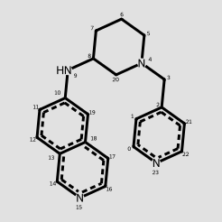 c1cc(CN2CCCC(Nc3ccc4cnccc4c3)C2)ccn1